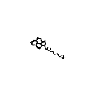 SCCCCCOCc1ccc2ccc3cccc4ccc1c2c34